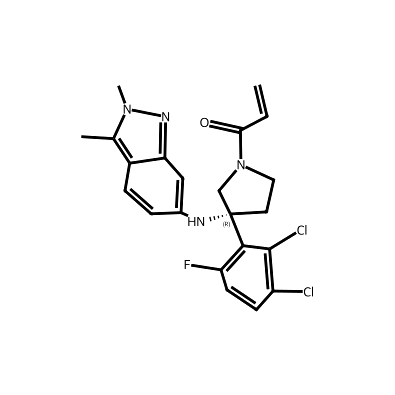 C=CC(=O)N1CC[C@@](Nc2ccc3c(C)n(C)nc3c2)(c2c(F)ccc(Cl)c2Cl)C1